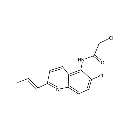 CC=Cc1ccc2c(NC(=O)CCl)c(Cl)ccc2n1